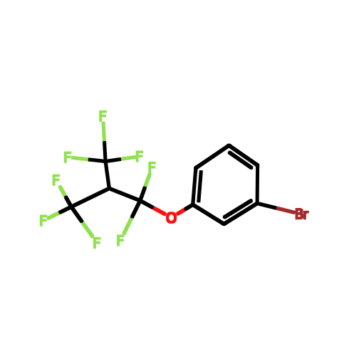 FC(F)(F)C(C(F)(F)F)C(F)(F)Oc1cccc(Br)c1